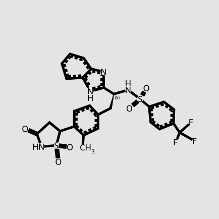 Cc1cc(C[C@H](NS(=O)(=O)c2ccc(C(F)(F)F)cc2)c2nc3ccccc3[nH]2)ccc1C1CC(=O)NS1(=O)=O